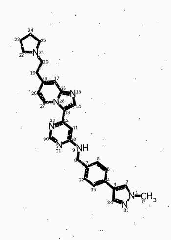 Cn1cc(-c2ccc(CNc3cc(-c4cnc5cc(CCN6CCCC6)ccn45)ncn3)cc2)cn1